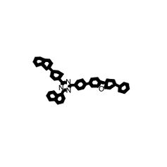 c1ccc(-c2ccc3c(c2)oc2cc(-c4ccc(-c5nc(-c6ccc(-c7ccc8ccccc8c7)cc6)nc(-c6cccc7ccccc67)n5)cc4)ccc23)cc1